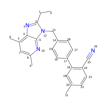 CCc1nc2c(C)cc(C)nc2n1Cc1ccc(-c2cc(C)ccc2C#N)cc1